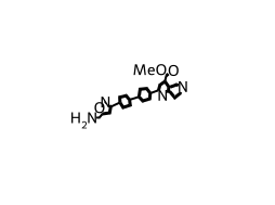 COC(=O)c1cc(-c2ccc(-c3ccc(-c4cc(CN)on4)cc3)cc2)nc2ccncc12